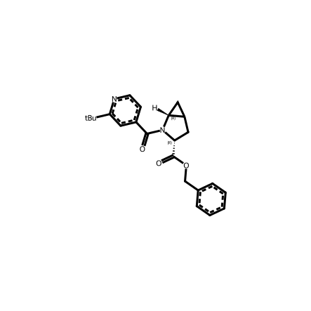 CC(C)(C)c1cc(C(=O)N2[C@@H](C(=O)OCc3ccccc3)CC3C[C@H]32)ccn1